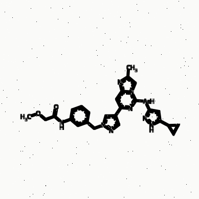 COCC(=O)Nc1cccc(Cn2cc(-c3cc4nc(C)cn4c([AsH]c4cc(C5CC5)[nH]n4)n3)cn2)c1